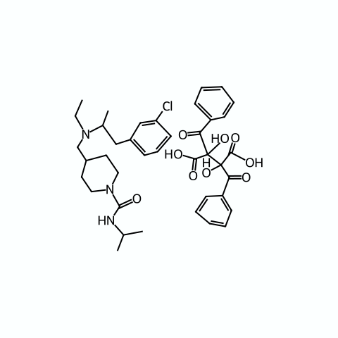 CCN(CC1CCN(C(=O)NC(C)C)CC1)C(C)Cc1cccc(Cl)c1.O=C(O)C(O)(C(=O)c1ccccc1)C(O)(C(=O)O)C(=O)c1ccccc1